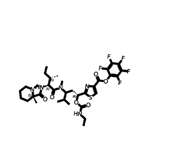 CCNC(=O)O[C@H](CC(C(C)C)N(C)C(=O)[C@@H](NC(=O)[C@]1(C)CCCCN1C)[C@@H](C)CC)c1nc(C(=O)Oc2c(F)c(F)c(F)c(F)c2F)cs1